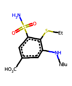 CCCCNc1cc(C(=O)O)cc(S(N)(=O)=O)c1SCC